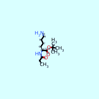 CCC(=O)N[C@@H](CCCCN)C(=O)OC(C)(C)C